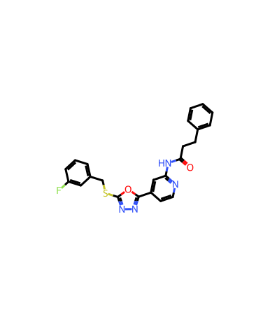 O=C(CCc1ccccc1)Nc1cc(-c2nnc(SCc3cccc(F)c3)o2)ccn1